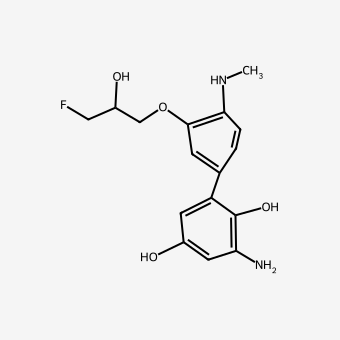 CNc1ccc(-c2cc(O)cc(N)c2O)cc1OCC(O)CF